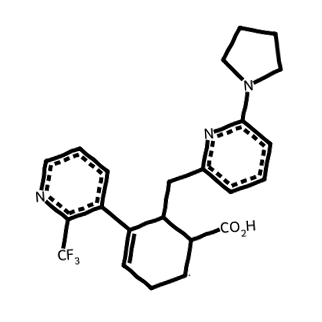 O=C(O)C1[CH]CC=C(c2cccnc2C(F)(F)F)C1Cc1cccc(N2CCCC2)n1